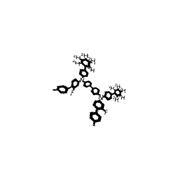 [2H]c1c([2H])c([2H])c(-c2ccc(N(c3ccc(-c4ccc(N(c5ccc(-c6c([2H])c([2H])c([2H])c([2H])c6[2H])cc5)c5ccc(-c6ccc(C)cc6)c(F)c5)cc4)cc3)c3ccc(-c4ccc(C)cc4)c(F)c3)cc2)c([2H])c1[2H]